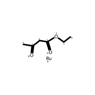 CCOC(=O)CC(C)=O.[Ru]